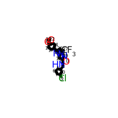 O=C(NCc1cccc(Cl)c1)c1cc2nc(-c3ccc4c(c3)OCO4)cc(C(F)(F)F)n2n1